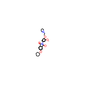 COc1cc(N2C(=O)c3ccc(OC4CCCCC4)cc3C2=O)ccc1OCCN1CCCC1